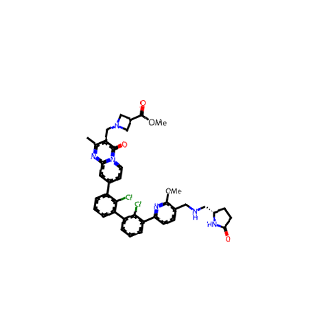 COC(=O)C1CN(Cc2c(C)nc3cc(-c4cccc(-c5cccc(-c6ccc(CNC[C@@H]7CCC(=O)N7)c(OC)n6)c5Cl)c4Cl)ccn3c2=O)C1